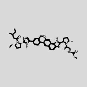 CCC(C)CC(=O)N1[C@@H](CC)CC[C@H]1c1ncc(-c2ccc3c(c2)COc2cc4c(ccc5nc(C6CC[C@H](C)N6C(=O)CNC(=O)OC)[nH]c54)cc2-3)[nH]1